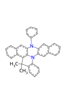 CC1(C)c2ccccc2N2c3cc4ccccc4cc3N(c3ccccc3)c3cc4ccccc4c1c32